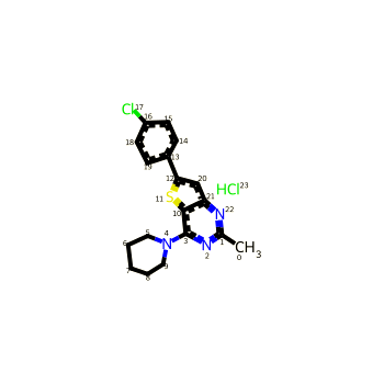 Cc1nc(N2CCCCC2)c2sc(-c3ccc(Cl)cc3)cc2n1.Cl